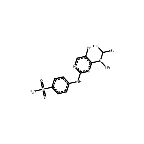 CCCN(c1nc(Nc2ccc(S(N)(=O)=O)cc2)ncc1Br)C(O)CC